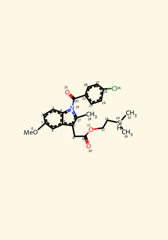 COc1ccc2c(c1)c(CC(=O)OCC[SiH](C)C)c(C)n2C(=O)c1ccc(Cl)cc1